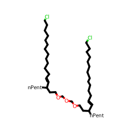 CCCCCC(C=CCCCCCCCCCCCCCl)CCOCOCOCCC(C=CCCCCCCCCCCCCCl)CCCCC